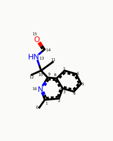 Cc1cc2ccccc2c(C(C)(C)NC=O)n1